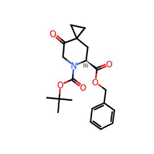 CC(C)(C)OC(=O)N1CC(=O)C2(CC2)C[C@H]1C(=O)OCc1ccccc1